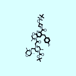 C[C@@H]1CN(CC(=O)N2c3cc(Cc4ccc(F)cc4)c(C(=O)N4CC(O[Si](C)(C)C(C)(C)C)C4)nc3OC[C@@H]2C)C(CN2[C@H](C)COC[C@H]2C)CN1C(=O)OC(C)(C)C